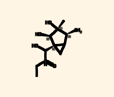 B[C@@H]1C2C[C@@]2(C(O)[PH](=O)CC)[C@@H](O)[C@@]1(C)O